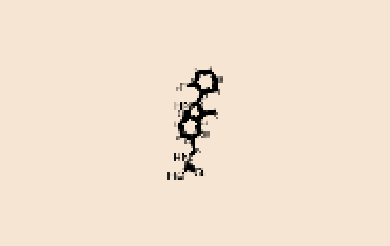 Cc1c(-c2ccccc2F)[nH]c2ccc(CNC(=O)O)cc12